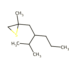 CCCC(CC1(C)CS1)C(C)C